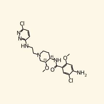 COc1cc(N)c(Cl)cc1C(=O)N[C@@H]1CCN(CCNc2ccc(Cl)nn2)C[C@@H]1OC